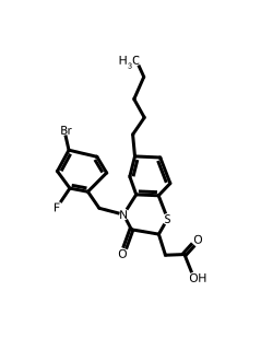 CCCCCc1ccc2c(c1)N(Cc1ccc(Br)cc1F)C(=O)C(CC(=O)O)S2